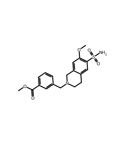 COC(=O)c1cccc(CN2CCc3cc(S(N)(=O)=O)c(OC)cc3C2)c1